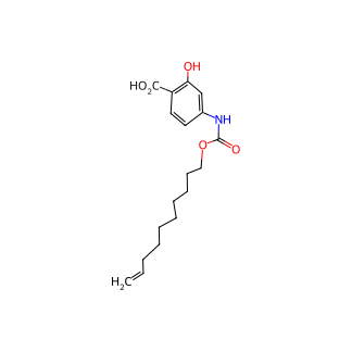 C=CCCCCCCCCOC(=O)Nc1ccc(C(=O)O)c(O)c1